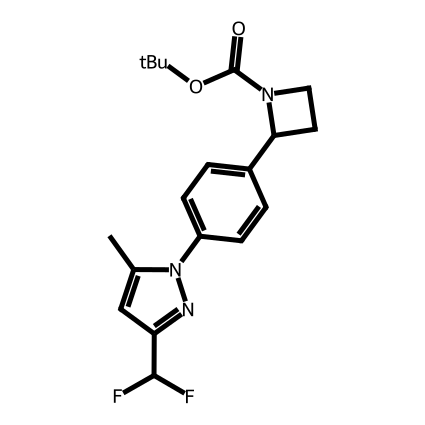 Cc1cc(C(F)F)nn1-c1ccc(C2CCN2C(=O)OC(C)(C)C)cc1